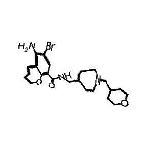 Nc1c(Br)cc(C(=O)NCC2CCN(CC3CCOCC3)CC2)c2c1CCCO2